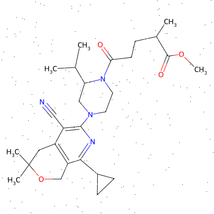 COC(=O)C(C)CCC(=O)N1CCN(c2nc(C3CC3)c3c(c2C#N)CC(C)(C)OC3)CC1C(C)C